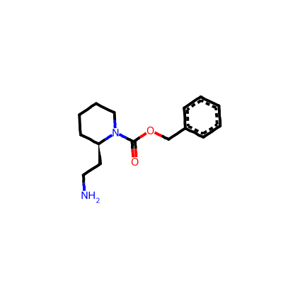 NCC[C@H]1CCCCN1C(=O)OCc1ccccc1